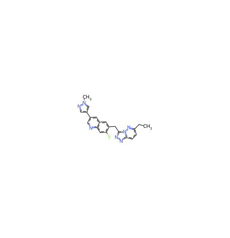 CCc1ccc2nnc(Cc3cc4cc(-c5cnn(C)c5)cnc4cc3F)n2n1